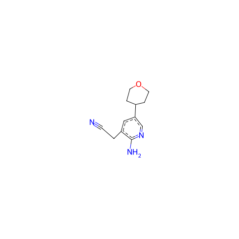 N#CCc1cc(C2CCOCC2)cnc1N